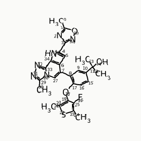 Cc1nc(-c2cc3c(-c4cc(C(C)(C)O)ccc4Oc4c(C)sc(C)c4F)cn4c(C)nnc4c3[nH]2)no1